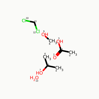 CC(=O)O.CC(C)O.CO.ClCCl.O